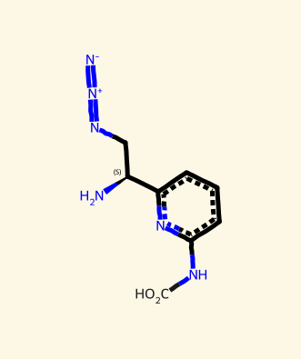 [N-]=[N+]=NC[C@H](N)c1cccc(NC(=O)O)n1